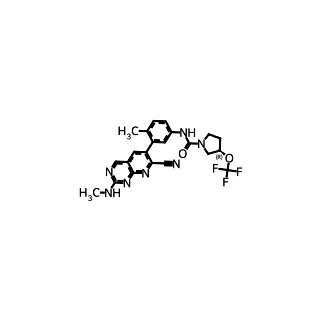 CNc1ncc2cc(-c3cc(NC(=O)N4CC[C@@H](OC(F)(F)F)C4)ccc3C)c(C#N)nc2n1